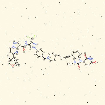 Cn1c(=O)n(C2CCC(=O)NC2=O)c2cccc(C#CCCC3CCN(CC4CCC(n5cc(NC(=O)c6cnn7ccc(C8C[C@H]9C[C@@H]8CO9)nc67)c(C(F)F)n5)CC4)CC3)c21